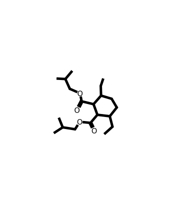 CCC1CCC(CC)C(C(=O)OCC(C)C)C1C(=O)OCC(C)C